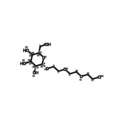 OC[C@H]1O[C@H](OCCOCCOCCCl)[C@H](O)[C@@H](O)[C@H]1O